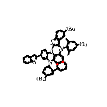 Cc1cc2c3c(c1)N(c1c(C)cc(C(C)(C)C)cc1C)c1c(sc4ccc(C(C)(C)C)cc14)B3c1ccc(-c3cc4ccccc4s3)cc1N2c1ccc(C(C)(C)C)cc1-c1ccccc1